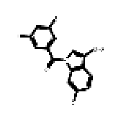 O=Cc1cn(C(=O)c2cc(F)cc(F)c2)c2cc(Cl)ccc12